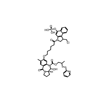 Cc1cc2c(cc1OCCCCCC(=O)N1CC(CCl)c3c1cc(OP(=O)(O)O)c1ccccc31)N(C(=O)OCC(C)SSc1ccccn1)C(O)[C@@H]1CCCN1C2=O